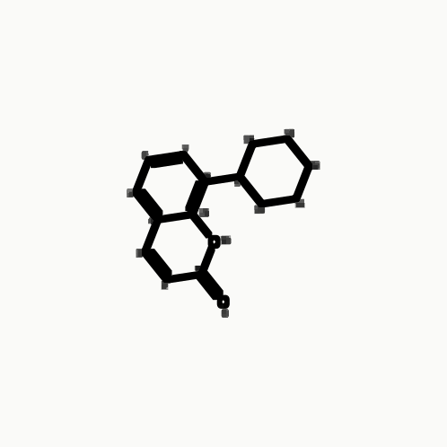 O=c1ccc2cccc(C3CCCCC3)c2o1